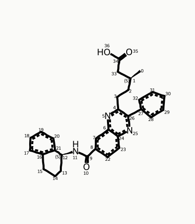 C[C@@H](CCc1nc2cc(C(=O)N[C@H]3CCCc4ccccc43)ccc2nc1-c1ccccc1)CC(=O)O